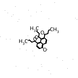 CCCC(=O)c1ccc2c([O])ccc(C(=O)CCC)c2c1C(=O)CCC